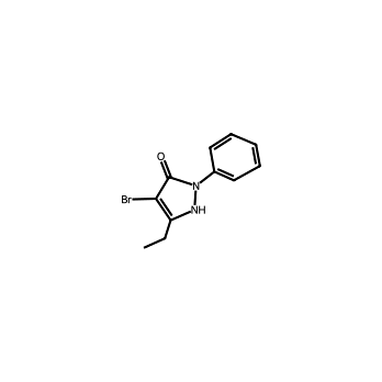 CCc1[nH]n(-c2ccccc2)c(=O)c1Br